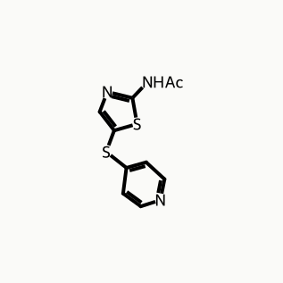 CC(=O)Nc1ncc(Sc2ccncc2)s1